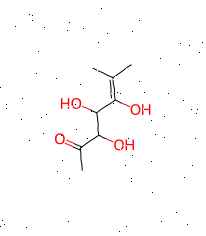 CC(=O)C(O)C(O)C(O)=C(C)C